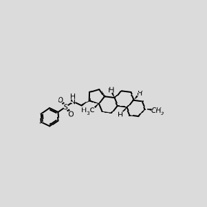 C[C@H]1CC[C@@H]2C3CC[C@@]4(C)C(CC[C@@H]4CNS(=O)(=O)c4ccccc4)[C@@H]3CC[C@@H]2C1